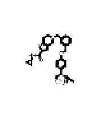 CC#C[C@@H](CC(=O)O)c1ccc(OCc2cccc(CN3CCc4sc(C(=O)NC5CC5)cc4C3)c2)cc1